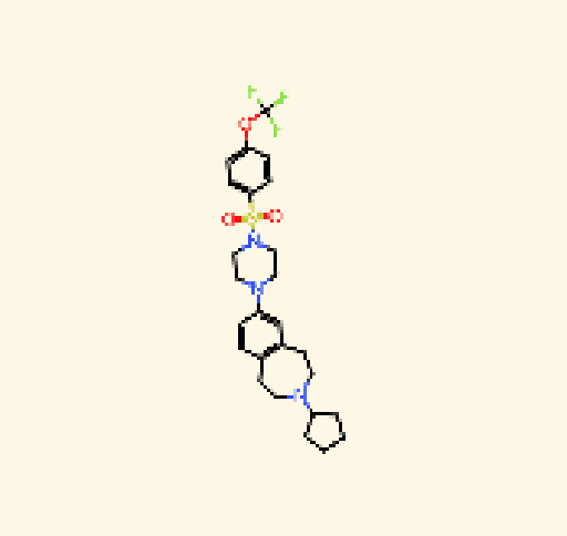 O=S(=O)(c1ccc(OC(F)(F)F)cc1)N1CCN(c2ccc3c(c2)CCN(C2CCCC2)CC3)CC1